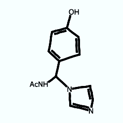 CC(=O)NC(c1ccc(O)cc1)n1ccnc1